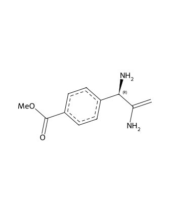 C=C(N)[C@H](N)c1ccc(C(=O)OC)cc1